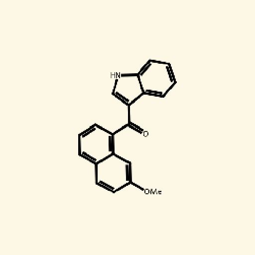 COc1ccc2cccc(C(=O)c3c[nH]c4ccccc34)c2c1